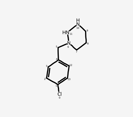 Clc1ccc(CN2CCCNN2)cc1